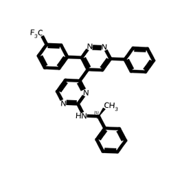 C[C@H](Nc1nccc(-c2cc(-c3ccccc3)nnc2-c2cccc(C(F)(F)F)c2)n1)c1ccccc1